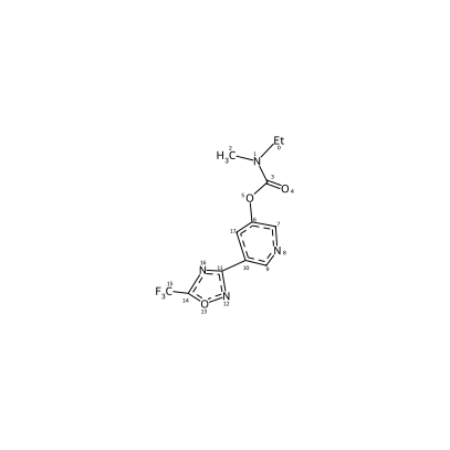 CCN(C)C(=O)Oc1cncc(-c2noc(C(F)(F)F)n2)c1